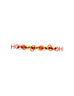 O=C(CSCCSCCOOCSCCSCOC(=O)CSCCSCCOOCCSCCO)OCCSCCO